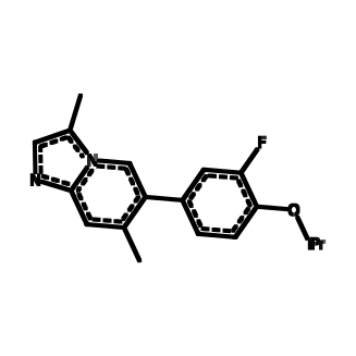 Cc1cc2ncc(C)n2cc1-c1ccc(OC(C)C)c(F)c1